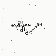 COc1cc(OCc2cccc(-c3cccc(OCCCN4CCC(O)C4)c3C)c2C)c(Cl)cc1CNC(C)(CO)C(=O)O